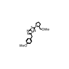 COCC1CCCN1c1nn2c(Cc3ccc(OC)cc3)nnc2s1